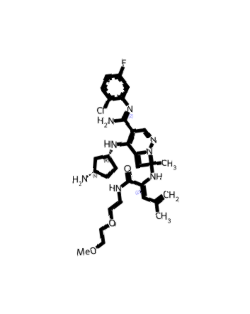 C=C(C)/C=C(\NC1(C)C=C2C(N[C@@H]3CC[C@H](N)C3)=C(/C(N)=N/c3cc(F)ccc3Cl)C=NN21)C(=O)NCCOCCOC